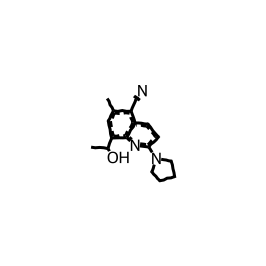 Cc1cc(C(C)O)c2nc(N3CCCC3)ccc2c1C#N